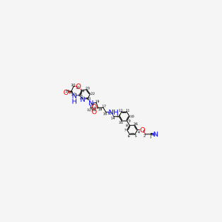 N#CCOc1cccc(-c2cccc(CNCCC34CN(c5ccc6c(n5)NC(=O)CO6)C(O3)O4)c2)c1